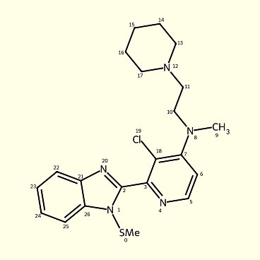 CSn1c(-c2nccc(N(C)CCN3CCCCC3)c2Cl)nc2ccccc21